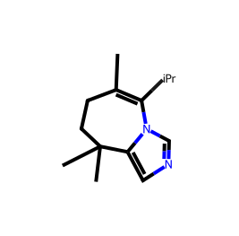 CC1=C(C(C)C)n2cncc2C(C)(C)CC1